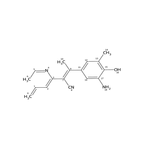 C=C/C=C(\N=C/C)C(/C#N)=C(\C)c1cc(C)c(O)c(N)c1